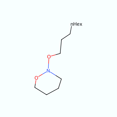 CCCCCCCCCON1CCCCO1